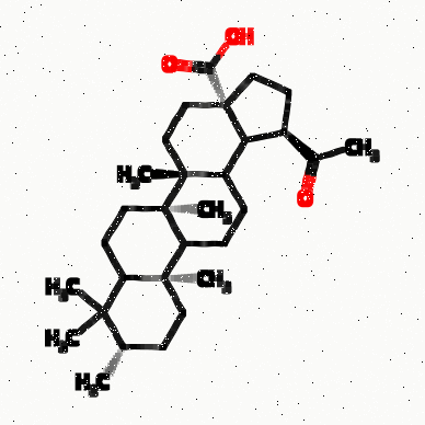 CC(=O)[C@@H]1CC[C@]2(C(=O)O)CC[C@]3(C)C(CCC4[C@@]5(C)CC[C@H](C)C(C)(C)C5CC[C@]43C)C12